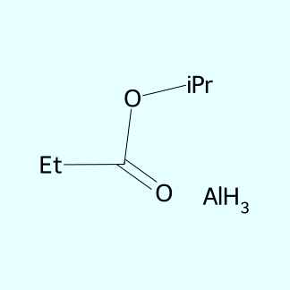 CCC(=O)OC(C)C.[AlH3]